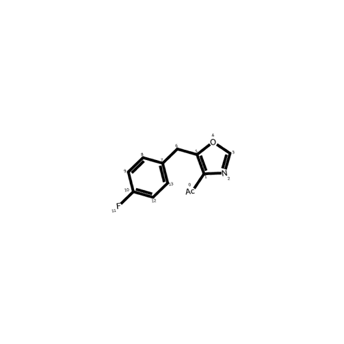 CC(=O)c1ncoc1Cc1ccc(F)cc1